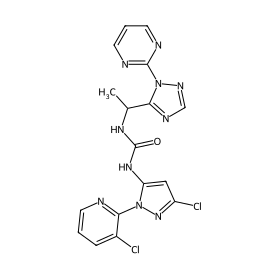 CC(NC(=O)Nc1cc(Cl)nn1-c1ncccc1Cl)c1ncnn1-c1ncccn1